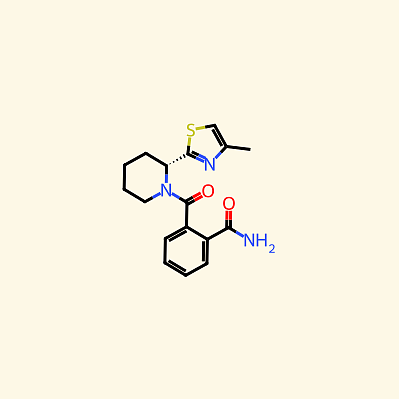 Cc1csc([C@H]2CCCCN2C(=O)c2ccccc2C(N)=O)n1